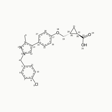 Cc1nn(Cc2ccc(Cl)cc2)cc1-c1ccc(OC[C@@H]2C[C@H]2C(=O)O)cc1